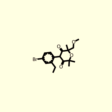 CCc1cc(Br)ccc1C1C(=O)C(C)(C)OC(C)(COC)C1=O